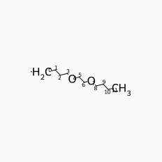 [CH2]CCCOCCOCCCC